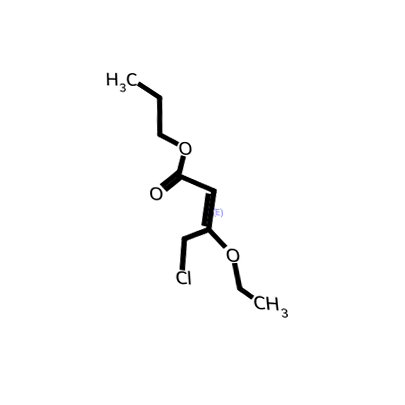 CCCOC(=O)/C=C(\CCl)OCC